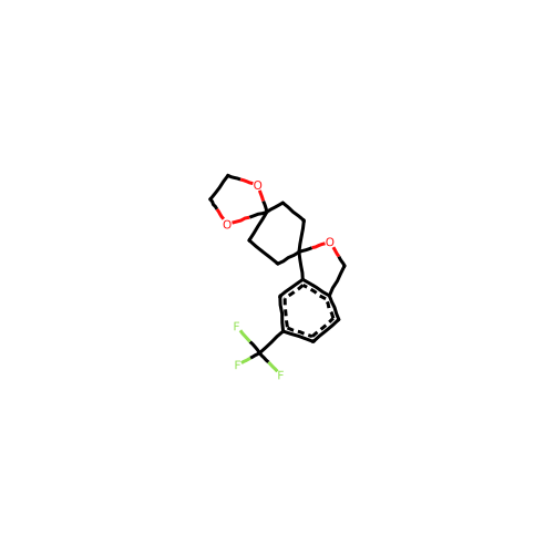 FC(F)(F)c1ccc2c(c1)C1(CCC3(CC1)OCCO3)OC2